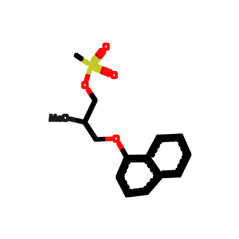 COC(COc1cccc2ccccc12)COS(C)(=O)=O